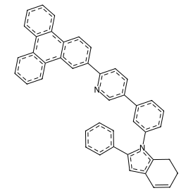 C1=Cc2cc(-c3ccccc3)n(-c3cccc(-c4ccc(-c5ccc6c7ccccc7c7ccccc7c6c5)nc4)c3)c2CC1